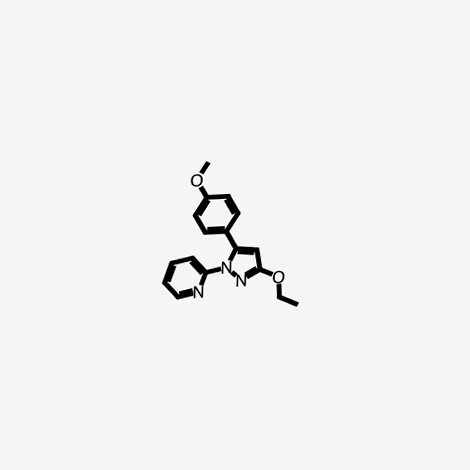 CCOc1cc(-c2ccc(OC)cc2)n(-c2ccccn2)n1